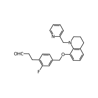 O=CCCc1ccc(COc2cccc3c2N(Cc2ccccn2)CCC3)cc1F